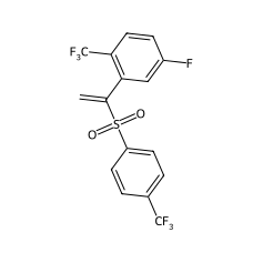 C=C(c1cc(F)ccc1C(F)(F)F)S(=O)(=O)c1ccc(C(F)(F)F)cc1